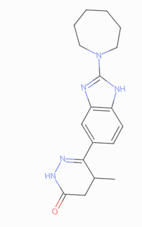 CC1CC(=O)NN=C1c1ccc2[nH]c(N3CCCCCC3)nc2c1